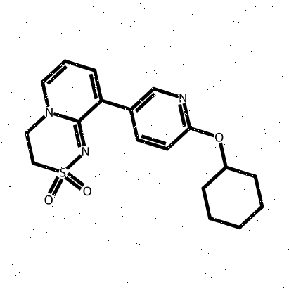 O=S1(=O)CCN2C=CC=C(c3ccc(OC4CCCCC4)nc3)C2=N1